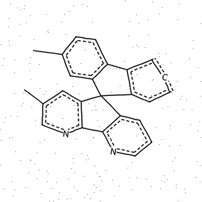 Cc1ccc2c(c1)C1(c3ccccc3-2)c2cccnc2-c2ncc(C)cc21